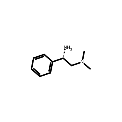 CN(C)C[C@@H](N)c1ccccc1